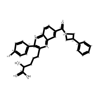 CC(CCCc1nc2cc(C(=O)N3CC(c4ccccc4)C3)ccc2nc1-c1ccc(F)cc1)C(=O)O